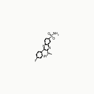 CC(C)N(C)c1nc2cc(S(N)(=O)=O)ccc2nc1-c1ccc(F)cc1